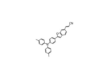 Cc1ccc(N(c2ccc(C)cc2)c2ccc(-c3cc4ccc(C=CC#N)cc4o3)cc2)cc1